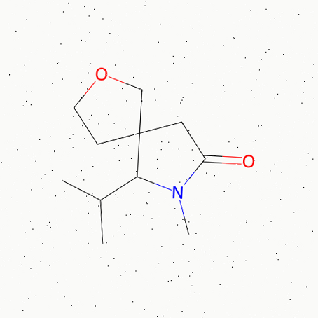 CC(C)C1N(C)C(=O)CC12CCOC2